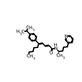 CCCCC/C(=C\C=C\C(=O)N[C@H](C)CCCc1cccnc1)c1ccc(C(C)C)cc1